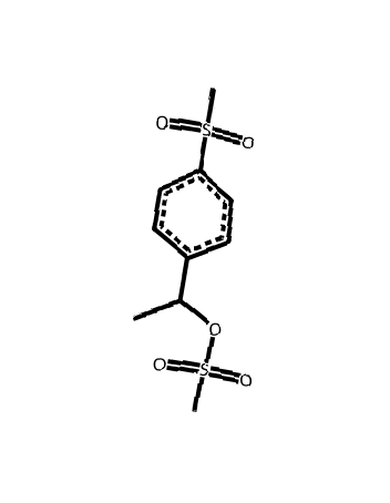 CC(OS(C)(=O)=O)c1ccc(S(C)(=O)=O)cc1